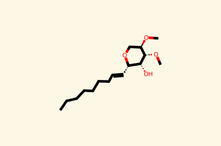 CCCCCCC/C=C/[C@@H]1OC[C@@H](OC)[C@H](OC)[C@@H]1O